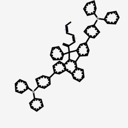 C=C(/C=C\C=C/C)C1(c2ccccc2)c2cc(-c3ccc(N(c4ccccc4)c4ccccc4)cc3)ccc2-c2c1c1ccc(-c3ccc(N(c4ccccc4)c4ccccc4)cc3)cc1c1ccccc21